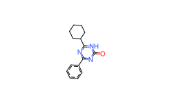 O=c1nc(-c2ccccc2)nc(C2CCCCC2)[nH]1